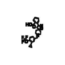 O=C(O)c1ccccc1C1=NOC2(CCN(Cc3ccc(OC(F)(F)F)c(C4CC4)c3)CC2)C1